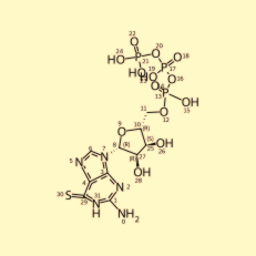 Nc1nc2c(ncn2[C@@H]2O[C@H](COP(=O)(O)OP(=O)(O)OP(=O)(O)O)[C@@H](O)[C@H]2O)c(=S)[nH]1